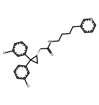 O=C(C[C@@H]1CC1(c1cccc(Cl)c1)c1cccc(Cl)c1)NCCCCc1cccnc1